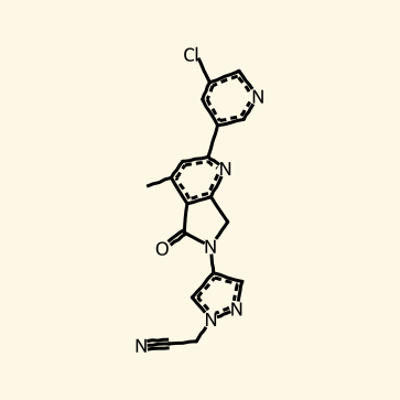 Cc1cc(-c2cncc(Cl)c2)nc2c1C(=O)N(c1cnn(CC#N)c1)C2